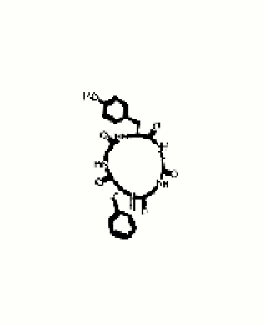 O=C1CNC(=O)[C@H](Cc2ccc(O)cc2)NC(=O)CNC(=O)[C@@H](Cc2ccccc2)NC(=O)CN1